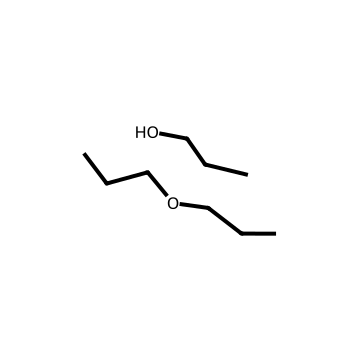 CCCO.CCCOCCC